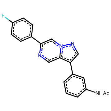 CC(=O)Nc1cccc(-c2cnn3cc(-c4ccc(F)cc4)ncc23)c1